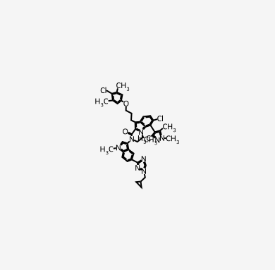 Cc1cc(OCCCc2c3n(c4c(-c5c(C)nn(C)c5C)c(Cl)ccc24)C(C)CN(c2cn(C)c4ccc(-c5ncn(CC6CC6)n5)cc24)C3=O)cc(C)c1Cl